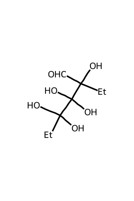 CCC(O)(O)C(O)(O)C(O)(C=O)CC